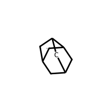 [CH]1C2CC3CC1C(C2)C3